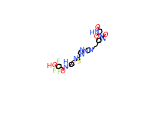 Cn1c(=O)n(C2CCC(=O)NC2=O)c2ccc(CCCN3CCN(c4nccc(-c5csc([C@]67CC[C@](CNC(=O)c8cc(F)c(O)c(F)c8F)(CC6)CC7)n5)n4)CC3)cc21